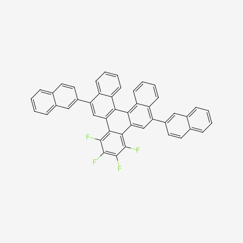 Fc1c(F)c(F)c2c3cc(-c4ccc5ccccc5c4)c4ccccc4c3c3c4ccccc4c(-c4ccc5ccccc5c4)cc3c2c1F